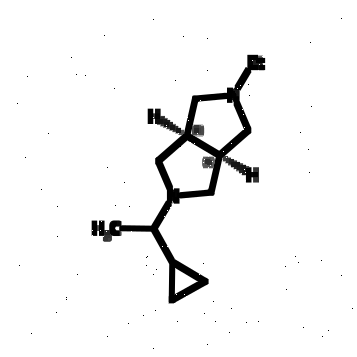 CCN1C[C@@H]2CN(C(C)C3CC3)C[C@@H]2C1